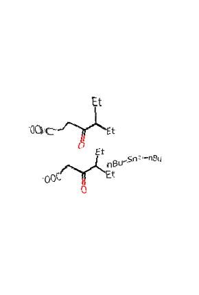 CCC(CC)C(=O)CC(=O)[O-].CCC(CC)C(=O)CC(=O)[O-].CCC[CH2][Sn+2][CH2]CCC